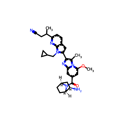 COc1cc(C(=O)N2[C@H]3CC[C@@H]2[C@H](N)C3)cc2nc(-c3cc4ccc(C(C)CC#N)nc4n3CC3CC3)c(C)n12